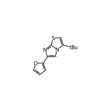 CC(C)(C)c1csc2nc(-c3ccco3)[c]n12